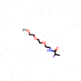 CC(C)OCCOCCOCCNC(=O)C(C)I